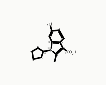 Cc1c(C(=O)O)c2ccc(Cl)cc2n1C1CCCC1